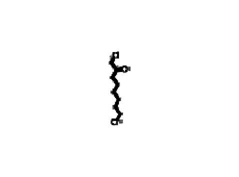 O=C(CCl)CCCCCCCl